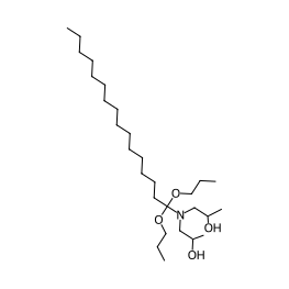 CCCCCCCCCCCCCCCC(OCCC)(OCCC)N(CC(C)O)CC(C)O